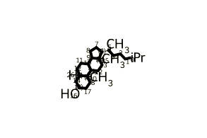 CC(C)CCCC(C)[C@H]1CCC2C3CC[C@H]4C[C@H](O)CC[C@]4(C)C3CC[C@@]21C